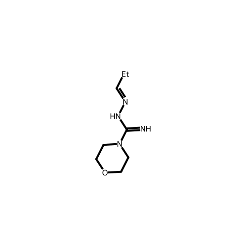 CC/C=N/NC(=N)N1CCOCC1